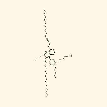 CCCCCCCCCCCC#CCCc1ccccc1N=C(CCCC)C(C=CCCCCCCCCCCCCC)=Nc1ccc(CCCCC)c(CCCCC)c1.[Pd]